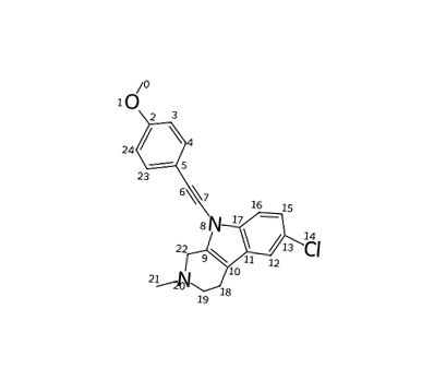 COc1ccc(C#Cn2c3c(c4cc(Cl)ccc42)CCN(C)C3)cc1